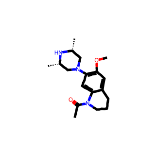 COc1cc2c(cc1N1C[C@@H](C)N[C@@H](C)C1)N(C(C)=O)CCC2